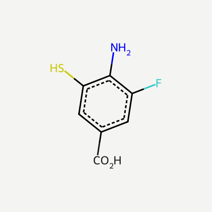 Nc1c(F)cc(C(=O)O)cc1S